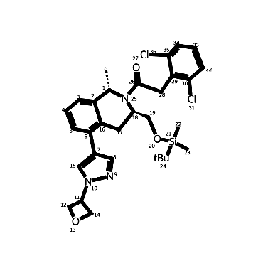 C[C@H]1c2cccc(-c3cnn(C4COC4)c3)c2C[C@H](CO[Si](C)(C)C(C)(C)C)N1C(=O)Cc1c(Cl)cccc1Cl